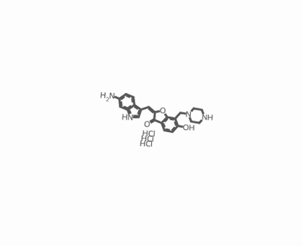 Cl.Cl.Cl.Nc1ccc2c(C=C3Oc4c(ccc(O)c4CN4CCNCC4)C3=O)c[nH]c2c1